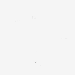 Br.Nc1ccc(Br)c(CO)c1